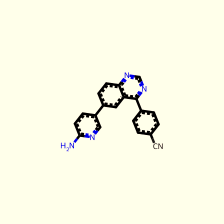 N#Cc1ccc(-c2ncnc3ccc(-c4ccc(N)nc4)cc23)cc1